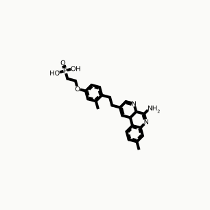 Cc1ccc2c(c1)N=C(N)C1N=CC(CCc3ccc(OCCP(=O)(O)O)cc3C)=CC21